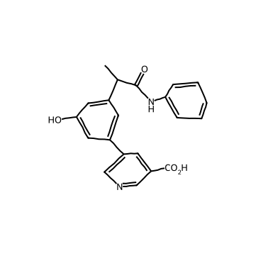 CC(C(=O)Nc1ccccc1)c1cc(O)cc(-c2cncc(C(=O)O)c2)c1